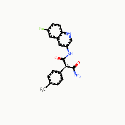 NC(=O)[C@H](C(=O)Nc1cnc2ccc(F)cc2c1)c1ccc(C(F)(F)F)cc1